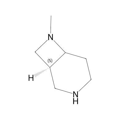 CN1C[C@@H]2CNCCC21